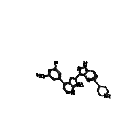 Oc1cc(F)cc(-c2ccnc3[nH]c(-c4n[nH]c5ccc(C6CCNCC6)nc45)cc23)c1